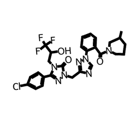 CC1CCCN(C(=O)c2ccccc2-n2cnc(Cn3nc(-c4ccc(Cl)cc4)n(CC(O)C(F)(F)F)c3=O)n2)C1